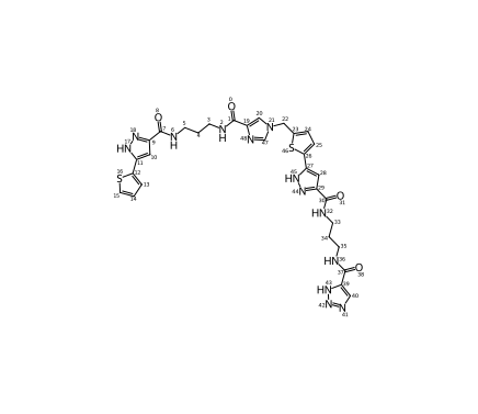 O=C(NCCCNC(=O)c1cc(-c2cccs2)[nH]n1)c1cn(Cc2ccc(-c3cc(C(=O)NCCCNC(=O)c4cnn[nH]4)n[nH]3)s2)cn1